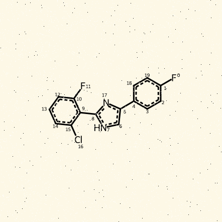 Fc1ccc(-c2c[nH]c(-c3c(F)cccc3Cl)n2)cc1